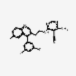 N#Cc1c(N)ncnc1NCCc1cnc2ccc(F)cc2c1-c1cc(F)cc(F)c1